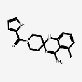 NC1=NC2(CCN(C(=O)c3ccc[nH]3)CC2)Nc2cccc(F)c21